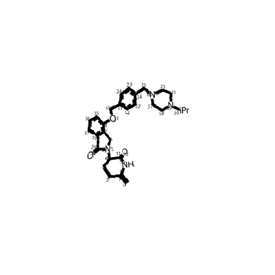 C=C1CCC(N2Cc3c(OCc4ccc(CN5CCN(C(C)C)CC5)cc4)cccc3C2=O)C(=O)N1